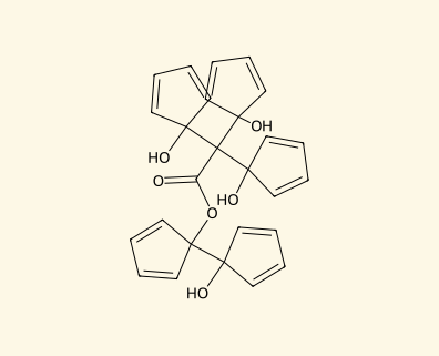 O=C(OC1(C2(O)C=CC=C2)C=CC=C1)C(C1(O)C=CC=C1)(C1(O)C=CC=C1)C1(O)C=CC=C1